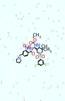 CCOC(=O)n1nc2c(c1NC(=O)c1ccc(CN3CCCC3)cc1[N+](=O)[O-])CN(S(=O)(=O)c1cc(F)cc(F)c1)CC2(C)C